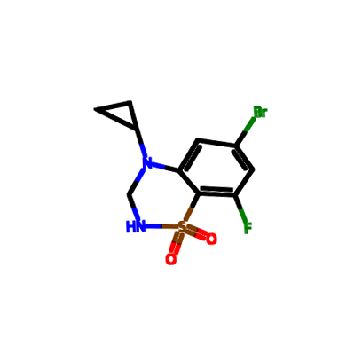 O=S1(=O)NCN(C2CC2)c2cc(Br)cc(F)c21